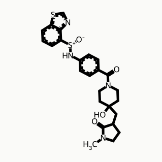 CN1CCC(CC2(O)CCN(C(=O)c3ccc(N[S+]([O-])c4cccc5scnc45)cc3)CC2)C1=O